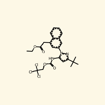 CCOC(=O)Cc1cc(-n2nc(C(C)(C)C)cc2NC(=O)OCC(Cl)(Cl)Cl)cc2ccccc12